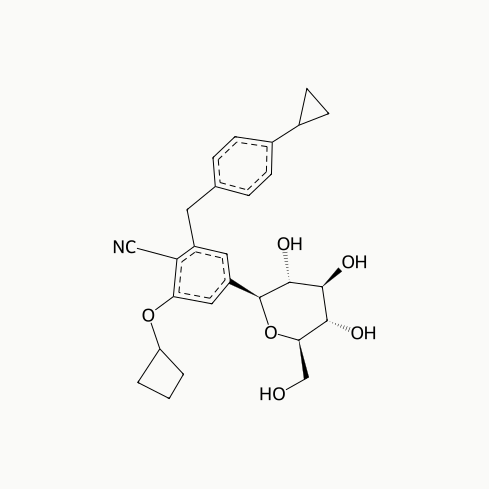 N#Cc1c(Cc2ccc(C3CC3)cc2)cc([C@@H]2O[C@H](CO)[C@@H](O)[C@H](O)[C@H]2O)cc1OC1CCC1